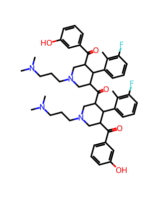 Cc1c(F)cccc1C1C(C(=O)c2cccc(O)c2)CN(CCCN(C)C)CC1C(=O)C1CN(CCCN(C)C)CC(C(=O)c2cccc(O)c2)C1c1cccc(F)c1C